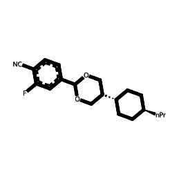 CCC[C@H]1CC[C@H](C2COC(c3ccc(C#N)c(F)c3)OC2)CC1